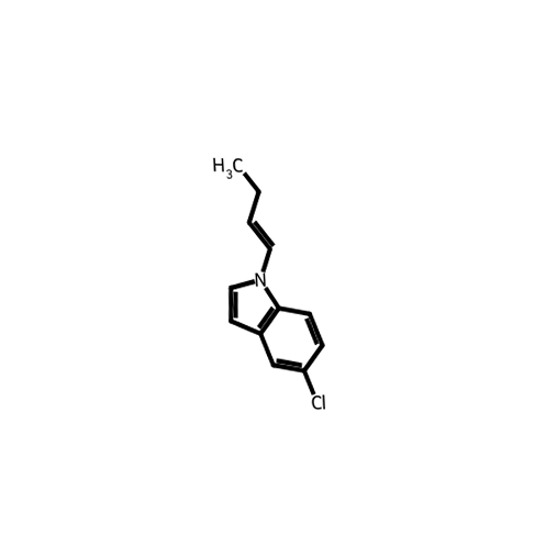 CCC=Cn1ccc2cc(Cl)ccc21